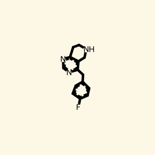 Fc1ccc(Cc2ncnc3c2CNCC3)cc1